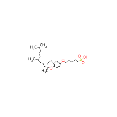 CC(C)CCCC(C)CCCC1(C)CCc2cc(OCCCCCS(=O)(=O)O)ccc2O1